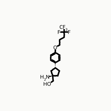 N[C@]1(CO)CC[C@@H](c2ccc(OCCCC(F)(F)C(F)(F)F)cc2)C1